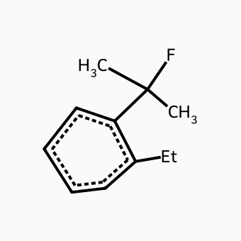 CCc1ccccc1C(C)(C)F